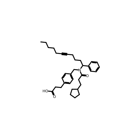 CCCCCC#CCCCC(c1ccccc1)N(Cc1ccc(CCC(=O)O)cc1)C(=O)CCC1CCCC1